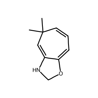 CC1(C)C=CC=C2OCNC2=C1